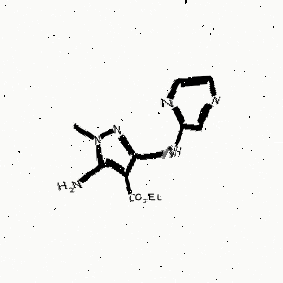 CCOC(=O)c1c(Nc2cnccn2)nn(C)c1N